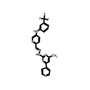 Cc1cc(-c2ccncc2)nc(N/N=C/c2ccc(Nc3cccc(C(F)(F)F)c3)cn2)n1